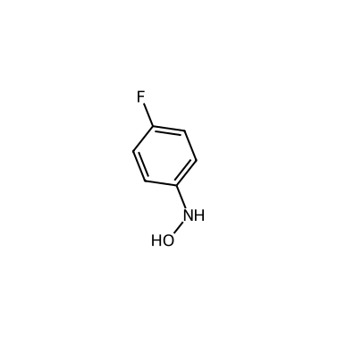 ONc1ccc(F)cc1